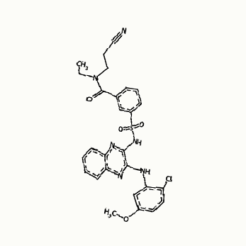 CCN(CCC#N)C(=O)c1cccc(S(=O)(=O)Nc2nc3ccccc3nc2Nc2cc(OC)ccc2Cl)c1